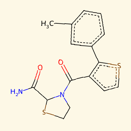 Cc1cccc(-c2sccc2C(=O)N2CCSC2C(N)=O)c1